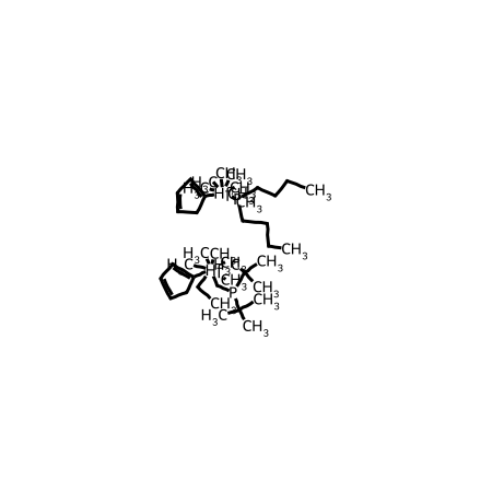 CCCC[P](CCCC)[Hf]([CH3])([CH3])([CH3])([CH3])([CH3])([CH3])([CH3])[C]1=CC=CC1.C[CH2][Hf]([CH3])([CH3])([CH3])([CH3])([CH3])([CH2]P(C(C)(C)C)C(C)(C)C)[C]1=CC=CC1